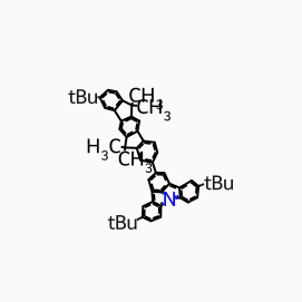 CC(C)(C)c1ccc2c(c1)-c1cc3c(cc1C2(C)C)-c1ccc(-c2cc4c5cc(C(C)(C)C)ccc5n5c6ccc(C(C)(C)C)cc6c(c2)c45)cc1C3(C)C